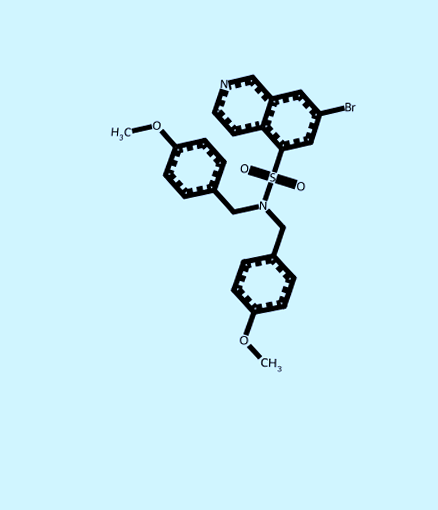 COc1ccc(CN(Cc2ccc(OC)cc2)S(=O)(=O)c2cc(Br)cc3cnccc23)cc1